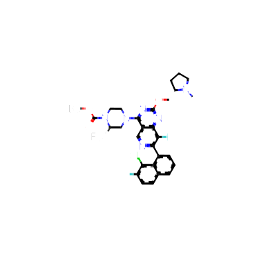 CN1CCC[C@H]1COc1nc(N2CCN(C(=O)OC(C)(C)C)C(C(F)(F)F)C2)c2cnc(-c3cccc4ccc(F)c(Cl)c34)c(F)c2n1